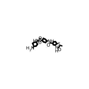 CC1Sc2ccc(C(=O)Nc3ccc(S(=O)(=O)Nc4ccc(N)cc4)cc3)cc2NC1=O